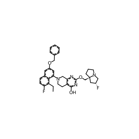 CCc1c(F)ccc2cc(OCc3ccccc3)cc(N3CCc4c(O)nc(OC[C@@]56CCCN5C[C@H](F)C6)nc4C3)c12